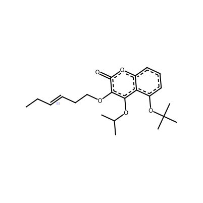 CC/C=C/CCOc1c(OC(C)C)c2c(OC(C)(C)C)cccc2oc1=O